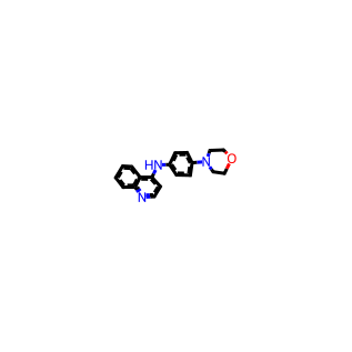 c1ccc2c(Nc3ccc(N4CCOCC4)cc3)ccnc2c1